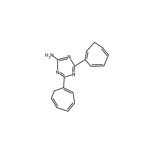 Nc1nc(C2=CCC=CC=C2)nc(C2=CC=CC=CC2)n1